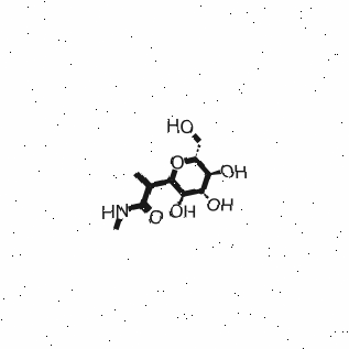 CNC(=O)C(C)C1O[C@H](CO)[C@@H](O)[C@H](O)[C@H]1O